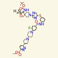 CCOC(=O)c1ccc(C2=CCN(C3CCN(c4ccc(C(=O)Nc5cccc(Sc6cnc(N7CCC8(CC7)CO[C@](C)([SiH3])[C@H]8NC(=O)OC(C)(C)C)cn6)c5)cc4F)CC3)CC2)nn1